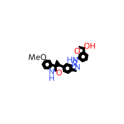 COc1ccc2c(c1)C1(CC1c1ccc3cnn(Nc4cccc5c4OC[C@H]5O)c3c1)C(=O)N2